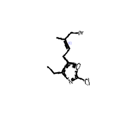 CCc1nc(Cl)oc1C/C=C(\C)CBr